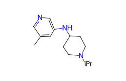 Cc1cncc(NC2CCN(C(C)C)CC2)c1